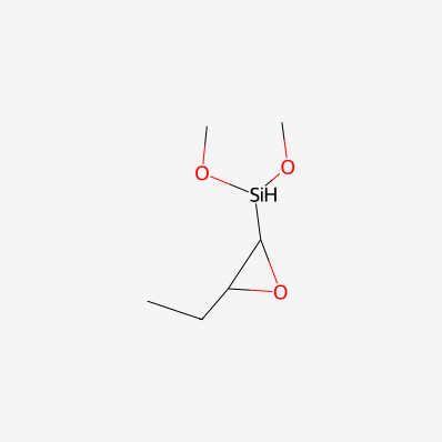 CCC1OC1[SiH](OC)OC